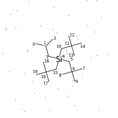 CC(C)C[Si](CC(C)(C)C)(CC(C)(C)C)CC(C)(C)C